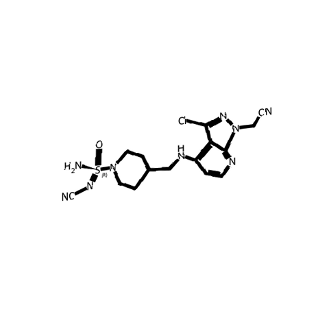 N#CCn1nc(Cl)c2c(NCC3CCN([S@@](N)(=O)=NC#N)CC3)ccnc21